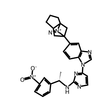 C[C@H](Nc1nccc(-n2cnc3cc(C45CC6CCCC6(C4)[N+]5=[N-])ccc32)n1)c1cccc([N+](=O)[O-])c1